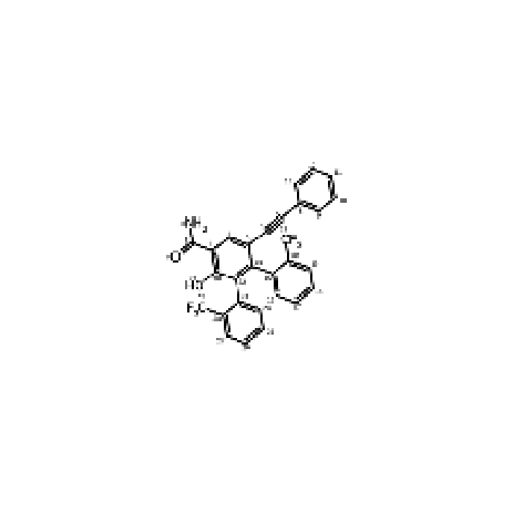 NC(=O)c1cc(C#Cc2ccccc2)c(-c2ccccc2C(F)(F)F)c(-c2ccccc2C(F)(F)F)c1O